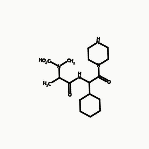 CC(C(=O)NC(C(=O)N1CCNCC1)C1CCCCC1)N(C)C(=O)O